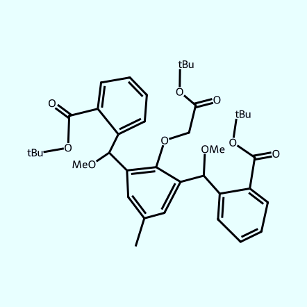 COC(c1ccccc1C(=O)OC(C)(C)C)c1cc(C)cc(C(OC)c2ccccc2C(=O)OC(C)(C)C)c1OCC(=O)OC(C)(C)C